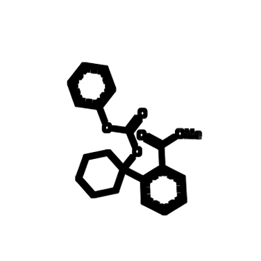 COC(=O)c1ccccc1C1(OC(=O)Oc2ccccc2)CCCCC1